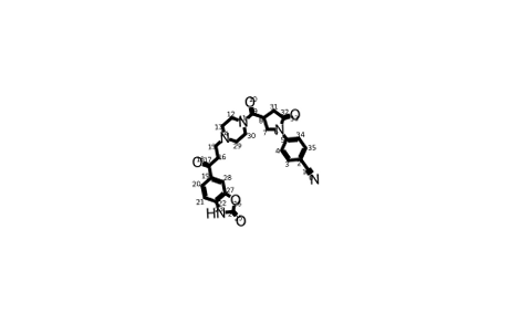 N#Cc1ccc(N2CC(C(=O)N3CCN(CCC(=O)c4ccc5[nH]c(=O)oc5c4)CC3)CC2=O)cc1